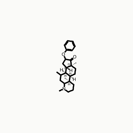 CC1CC2N(C)CCC[C@]2(C)[C@@H]2CC[C@]3(C)C(=O)C(Oc4ccccc4)C[C@H]3[C@H]12